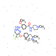 C=C(Cc1ccc(Oc2nc(Nc3ccc(C(=O)NC4CCN(C)CC4)cc3OC)ncc2C(F)(F)F)cc1)N(C)C